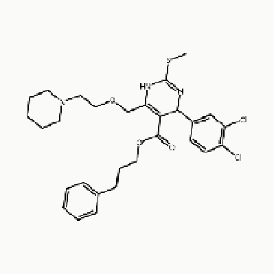 CSC1=NC(c2ccc(Cl)c(Cl)c2)C(C(=O)OCCCc2ccccc2)=C(COCCN2CCCCC2)N1